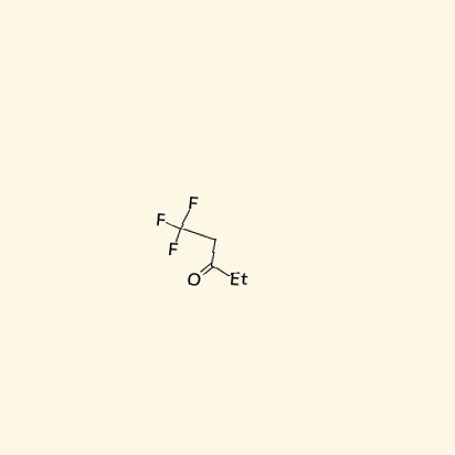 [CH2]CC(=O)CC(F)(F)F